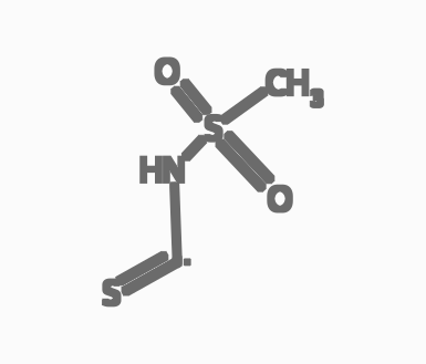 CS(=O)(=O)N[C]=S